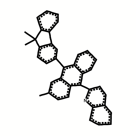 Cc1ccc2c(-c3ccc4ccccc4n3)c3ccccc3c(-c3ccc4c(c3)-c3ccccc3C4(C)C)c2c1